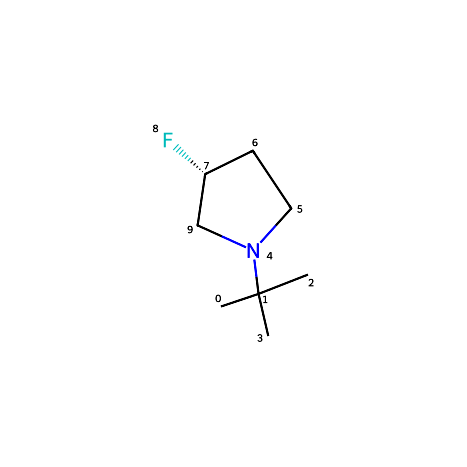 CC(C)(C)N1CC[C@@H](F)C1